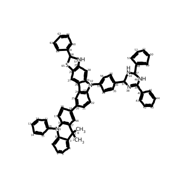 CC1(C)c2ccccc2N(c2ccccc2)c2ccc(-c3ccc4c(c3)c3cc5c(cc3n4-c3ccc(C4N=C(c6ccccc6)NC(c6ccccc6)N4)cc3)NC(c3ccccc3)S5)cc21